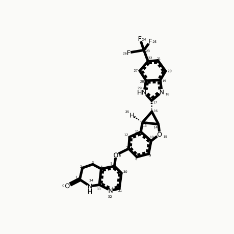 O=C1CCc2c(Oc3ccc4c(c3)[C@@H]3C(O4)[C@H]3c3nc4ccc(C(F)(F)F)cc4[nH]3)ccnc2N1